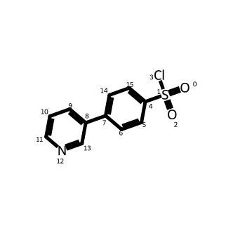 O=S(=O)(Cl)c1ccc(-c2cccnc2)cc1